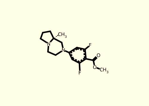 COC(=O)c1c(F)cc(N2CCN3CCC[C@@]3(C)C2)cc1F